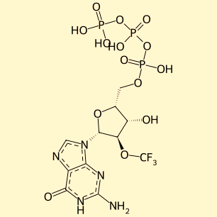 Nc1nc2c(ncn2[C@@H]2O[C@H](COP(=O)(O)OP(=O)(O)OP(=O)(O)O)[C@H](O)[C@H]2OC(F)(F)F)c(=O)[nH]1